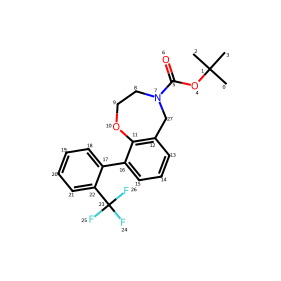 CC(C)(C)OC(=O)N1CCOc2c(cccc2-c2ccccc2C(F)(F)F)C1